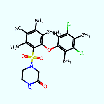 Bc1c(Cl)c(B)c(Oc2c(B)c(B)c(C#N)c(B)c2S(=O)(=O)N2CCNC(=O)C2)c(B)c1Cl